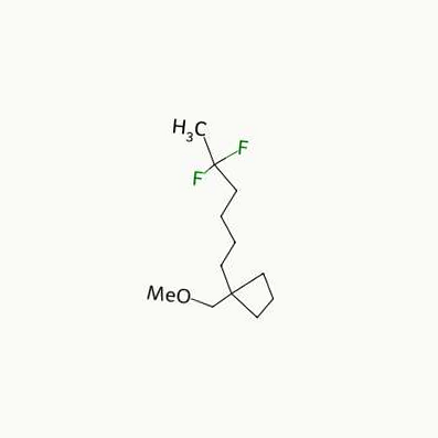 COCC1(CCCCC(C)(F)F)CCC1